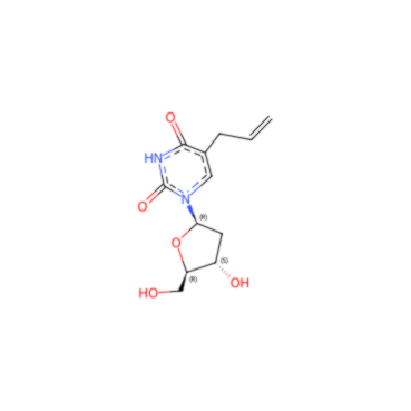 C=CCc1cn([C@H]2C[C@H](O)[C@@H](CO)O2)c(=O)[nH]c1=O